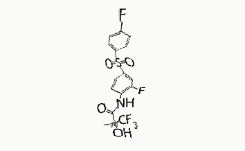 C[C@@](O)(C(=O)Nc1ccc(S(=O)(=O)c2ccc(F)cc2)cc1F)C(F)(F)F